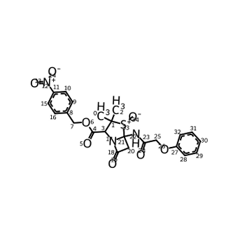 CC1(C)C(C(=O)OCc2ccc([N+](=O)[O-])cc2)N2C(=O)CC2(NC(=O)COc2ccccc2)[S+]1[O-]